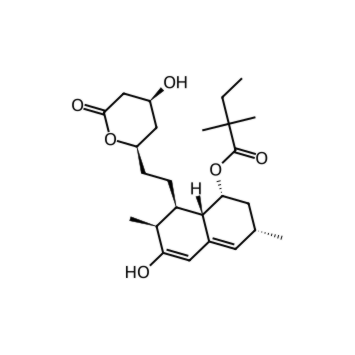 CCC(C)(C)C(=O)O[C@@H]1C[C@H](C)C=C2C=C(O)[C@@H](C)[C@@H](CC[C@@H]3C[C@H](O)CC(=O)O3)[C@@H]21